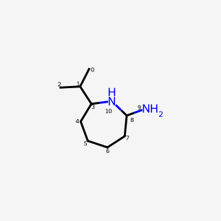 CC(C)C1CCCCC(N)N1